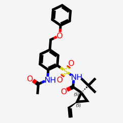 C=C[C@@H]1C[C@@]1(C(=O)NS(=O)(=O)c1cc(COc2ccccc2)ccc1NC(C)=O)C(C)(C)C